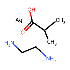 CC(C)C(=O)O.NCCN.[Ag]